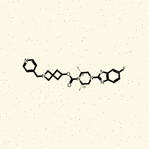 C[C@@H]1CN(c2nc3ccc(F)cc3s2)C[C@H](C)N1C(=O)OC1CC2(C1)CN(Cc1ccncc1)C2